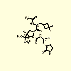 CC1(C)[C@@H]2[C@@H](C(=O)N[C@H](C#N)C[C@@H]3CCNC3=O)N(C(=O)[C@H](CC3CC(F)(F)C3)NC(=O)C(F)(F)F)C[C@@H]21